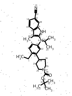 CCc1ccc(N(c2[nH]c3cc(C#N)ccc3c2C)C(C)C)cc1C1CCN(C(=O)OC(C)(C)C)CC1